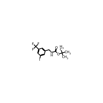 CC(C)(C)OC(=O)NCc1cc(I)cc(C(F)(F)F)c1